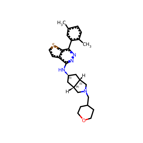 Cc1ccc(C)c(-c2nnc(N[C@H]3C[C@@H]4CN(CC5CCOCC5)C[C@@H]4C3)c3ccsc23)c1